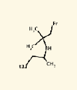 CC(C)CC(C)(C)BC(C)CC(C)(C)C